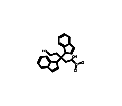 OCCC(C[CH](O)[Zr]([Cl])[Cl])(C1C=Cc2ccccc21)C1C=Cc2ccccc21